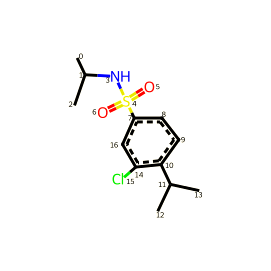 CC(C)NS(=O)(=O)c1ccc(C(C)C)c(Cl)c1